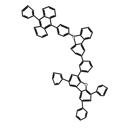 c1ccc(-c2cc(-c3ccccc3)c3oc4c(-c5cccc(-c6ccc7c(c6)c6ccccc6n7-c6ccc(-c7c8ccccc8c(-c8ccccc8)c8ccccc78)cc6)c5)cc(-c5ccccc5)cc4c3c2)cc1